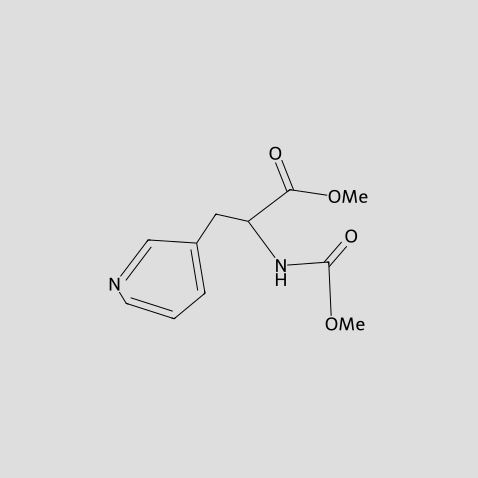 COC(=O)NC(Cc1cccnc1)C(=O)OC